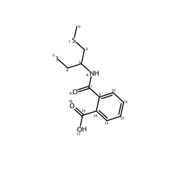 CSCC(CI)NC(=O)c1ccccc1C(=O)O